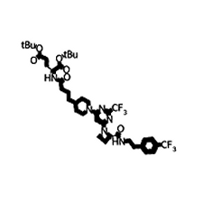 CC(C)(C)OC(=O)CC[C@@H](NC(=O)CCCC1CCN(c2cc(N3CC[C@H]3C(=O)NCCc3ccc(C(F)(F)F)cc3)nc(C(F)(F)F)n2)CC1)C(=O)OC(C)(C)C